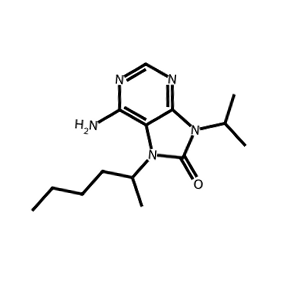 CCCCC(C)n1c(=O)n(C(C)C)c2ncnc(N)c21